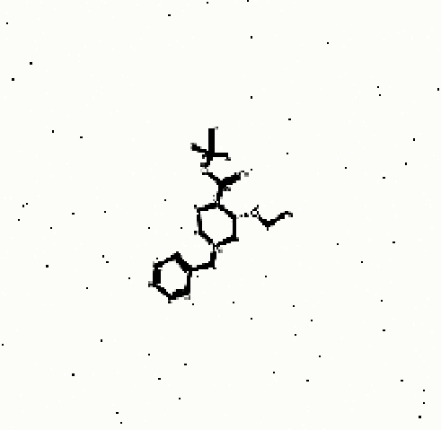 CCO[C@@H]1CN(Cc2ccccc2)CCN1C(=O)OC(C)(C)C